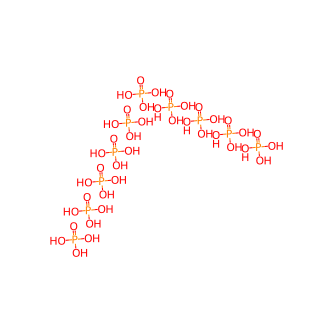 O=P(O)(O)O.O=P(O)(O)O.O=P(O)(O)O.O=P(O)(O)O.O=P(O)(O)O.O=P(O)(O)O.O=P(O)(O)O.O=P(O)(O)O.O=P(O)(O)O.O=P(O)(O)O